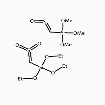 CCO[Si](C=S(=O)=O)(OCC)OCC.CO[Si](C=S=O)(OC)OC